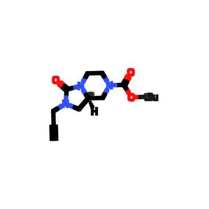 C#CCN1C[C@@H]2CN(C(=O)OC(C)(C)C)CCN2C1=O